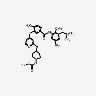 COc1c(CN(C)C)cc(C(C)(C)C)cc1NC(=O)c1ccc(C)c(Oc2ccnc(CC3CCN(OC(=O)OC(C)(C)C)CC3)c2)c1